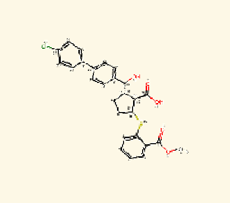 COC(=O)c1ccccc1S[C@H]1CC[C@H](C(O)c2ccc(-c3ccc(Cl)cc3)cc2)[C@H]1C(=O)O